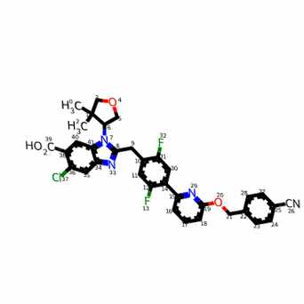 CC1(C)COCC1n1c(Cc2cc(F)c(-c3cccc(OCc4ccc(C#N)cc4)n3)cc2F)nc2cc(Cl)c(C(=O)O)cc21